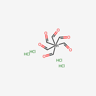 Cl.Cl.Cl.Cl.O=[CH][Rh]([CH]=O)([CH]=O)([CH]=O)([CH]=O)[CH]=O